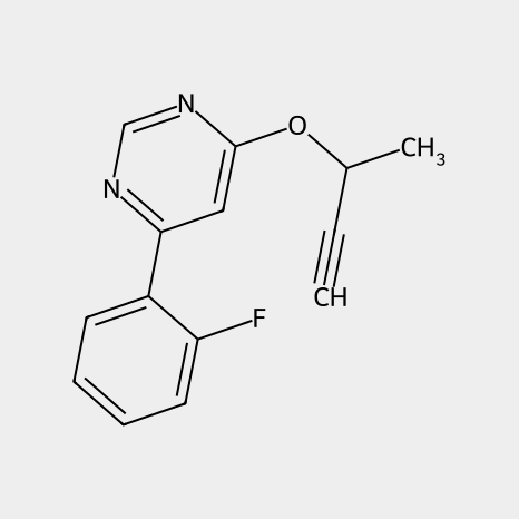 C#CC(C)Oc1cc(-c2ccccc2F)ncn1